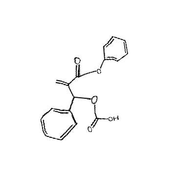 C=C(C(=O)Oc1ccccc1)C(OC(=O)O)c1ccccc1